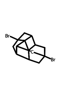 BrC12CC3C4CC5(Br)CC3C(C1)C(C5)C4C2